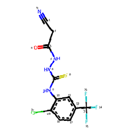 N#CCC(=O)NNC(=S)Nc1cc(C(F)(F)F)ccc1Cl